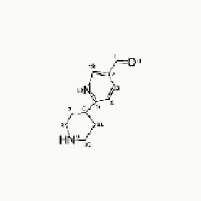 O=Cc1ccc(C2CCNCC2)nc1